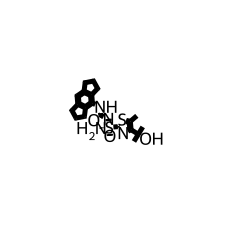 Cc1sc([S@@](N)(=O)=NC(=O)Nc2c3c(cc4c2CCC4)CCC3)nc1C(C)(C)O